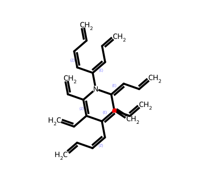 C=C\C=C/C(=C\C=C)C(/C=C)=C(/C=C)N(/C(C=C)=C/C=C)C(/C=C\C=C)=C/C=C